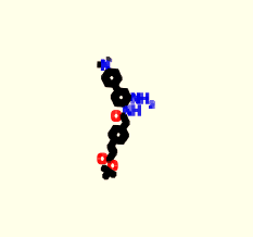 CN(C)c1ccc(-c2ccc(NC(=O)Cc3ccc(/C=C/C(=O)OC(C)(C)C)cc3)c(N)c2)cc1